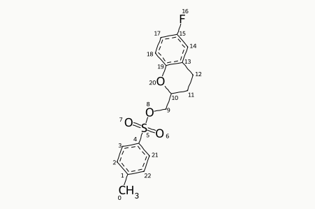 Cc1ccc(S(=O)(=O)OCC2CCc3cc(F)ccc3O2)cc1